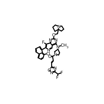 CN(c1nc(OCC23CCCN2CCC3)nc2c(F)c(-c3cccc4cccc(Cl)c34)ncc12)[C@@H]1CCN(C(=O)/C=C/c2nc(C(F)F)no2)C1